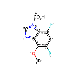 CC(C)Oc1c(F)cc(F)c2c1ncn2C(=O)O